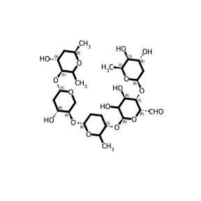 CC1O[C@H](O[C@@H]2CO[C@@H](O[C@@H]3C(C)O[C@H](C)C[C@H]3O)C[C@H]2O)CC[C@@H]1O[C@@H]1O[C@@H](C=O)[C@@H](O[C@@H]2C[C@@H](O)[C@H](O)[C@H](C)O2)[C@H](O)C1O